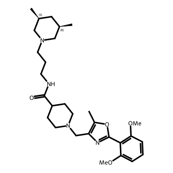 COc1cccc(OC)c1-c1nc(CN2CCC(C(=O)NCCCN3C[C@H](C)C[C@H](C)C3)CC2)c(C)o1